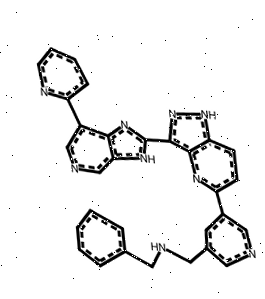 c1ccc(CNCc2cncc(-c3ccc4[nH]nc(-c5nc6c(-c7ccccn7)cncc6[nH]5)c4n3)c2)cc1